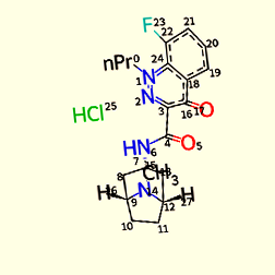 CCCn1nc(C(=O)N[C@H]2C[C@H]3CC[C@@H](C2)N3C)c(=O)c2cccc(F)c21.Cl